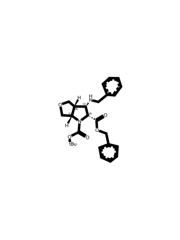 CC(C)(C)OC(=O)N1[C@@H]2COC[C@@H]2[C@H](NCc2ccccc2)[C@@H]1C(=O)OCc1ccccc1